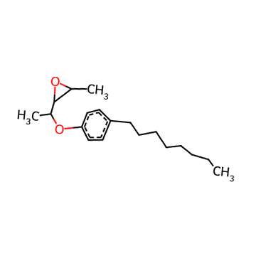 CCCCCCCCc1ccc(OC(C)C2OC2C)cc1